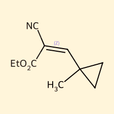 CCOC(=O)/C(C#N)=C\C1(C)CC1